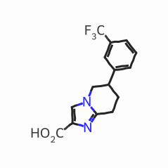 O=C(O)c1cn2c(n1)CCC(c1cccc(C(F)(F)F)c1)C2